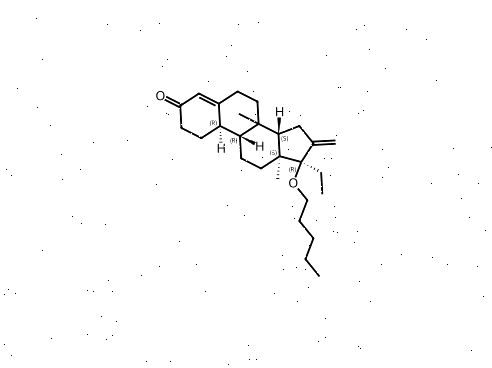 C=C1C[C@H]2C3(C)CCC4=CC(=O)CC[C@@H]4[C@H]3CC[C@]2(C)[C@]1(CC)OCCCCC